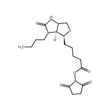 CCCCN1C(=O)NC2CS[C@@H](CCCCC(=O)ON3C(=O)CCC3=O)[C@H]21